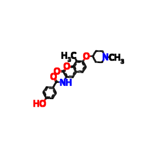 Cc1c(OC2CCN(C)CC2)ccc2cc(NC(=O)c3ccc(O)cc3)c(=O)oc12